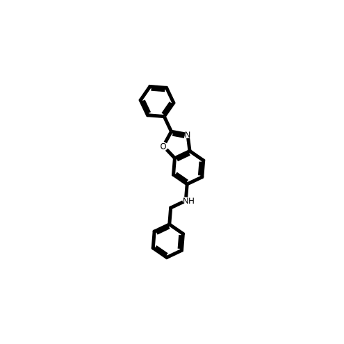 c1ccc(CNc2ccc3nc(-c4ccccc4)oc3c2)cc1